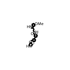 COc1ccc2[nH]cc(CCNC(=O)c3cc(-c4ccc5c(c4)COC4(CCNCC4)O5)ccn3)c2c1